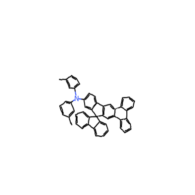 Cc1cccc(N(c2cccc(C)c2)c2ccc3c(c2)C2(c4ccccc4-c4ccccc42)c2cc4c5ccccc5c5ccccc5c4cc2-3)c1